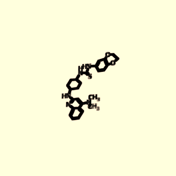 CN(C)c1cc(NC2CCC(NC(=S)Nc3ccc4c(c3)OCCO4)CC2)nc2ccccc12